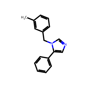 Cc1cccc(Cn2cncc2-c2ccccc2)c1